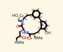 CNC[C@H](O)C[C@@H]1NC(=O)[C@@H](NC)Cc2cc(ccc2O)-c2cccc(c2)C[C@@H](C(=O)O)N(C)C1=O